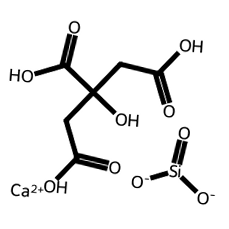 O=C(O)CC(O)(CC(=O)O)C(=O)O.O=[Si]([O-])[O-].[Ca+2]